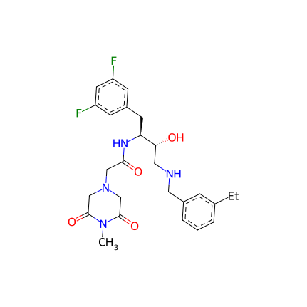 CCc1cccc(CNC[C@@H](O)[C@H](Cc2cc(F)cc(F)c2)NC(=O)CN2CC(=O)N(C)C(=O)C2)c1